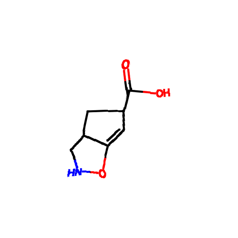 O=C(O)C1C=C2ONCC2C1